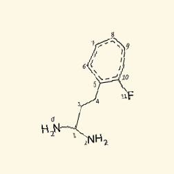 NC(N)CCc1ccccc1F